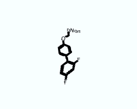 CCCCCCCCCCOc1ccc(-c2ccc(F)cc2F)cc1